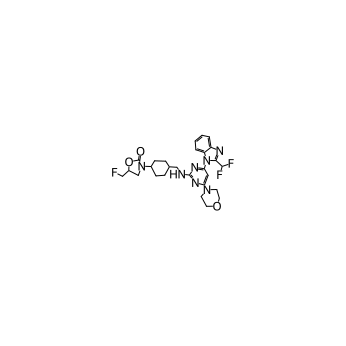 O=C1OC(CF)CN1C1CCC(CNc2nc(N3CCOCC3)cc(-n3c(C(F)F)nc4ccccc43)n2)CC1